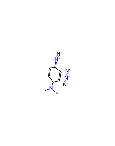 CN(C)C1C=CC(=[N+]=[N-])C=C1.[N-]=[N+]=[N-]